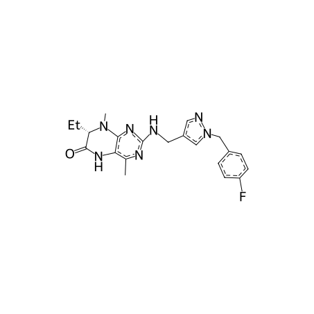 CC[C@H]1C(=O)Nc2c(C)nc(NCc3cnn(Cc4ccc(F)cc4)c3)nc2N1C